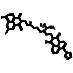 CC(C)N(CCCNCCN1C(=O)c2ccc(F)c3cc(F)cc(c23)C1=O)CCN1C(=O)c2cccc3c(-n4ccnc4)ccc(c23)C1=O